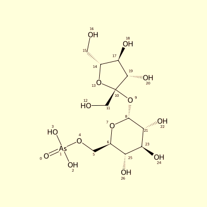 O=[As](O)(O)OC[C@H]1O[C@H](O[C@]2(CO)O[C@H](CO)[C@@H](O)[C@@H]2O)[C@H](O)[C@@H](O)[C@@H]1O